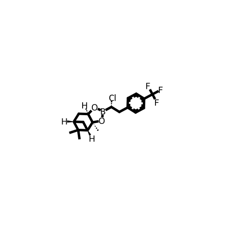 CC1(C)[C@@H]2C[C@H]3OB([C@H](Cl)Cc4ccc(C(F)(F)F)cc4)O[C@@]3(C)[C@H]1C2